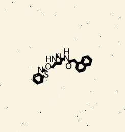 O=C(Cc1cccc2ccccc12)Nc1cc(COc2nc3ccccc3s2)[nH]n1